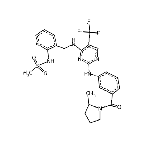 CC1CCCN1C(=O)c1cccc(Nc2ncc(C(F)(F)F)c(NCc3cccnc3NS(C)(=O)=O)n2)c1